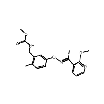 COC(=O)NCc1cc(O/N=C(\C)c2cccnc2OC)ccc1C